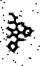 CCCCC(C(=O)NO)N1C(=O)C(O)=C(C(=O)c2ccccc2)C1c1ccccc1C